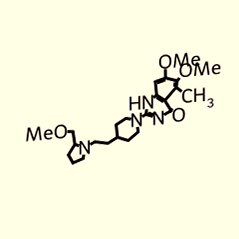 COCC1CCCN1CCC1CCN(c2nc(=O)c3c(C)c(OC)c(OC)cc3[nH]2)CC1